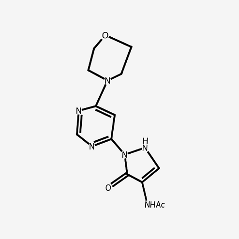 CC(=O)Nc1c[nH]n(-c2cc(N3CCOCC3)ncn2)c1=O